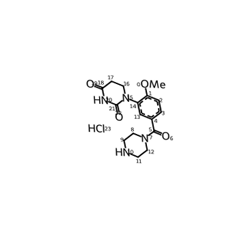 COc1ccc(C(=O)N2CCNCC2)cc1N1CCC(=O)NC1=O.Cl